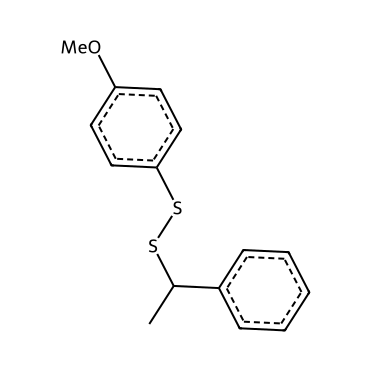 COc1ccc(SSC(C)c2ccccc2)cc1